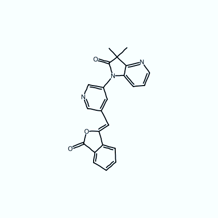 CC1(C)C(=O)N(c2cncc(C=C3OC(=O)c4ccccc43)c2)c2cccnc21